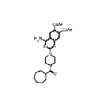 COc1cc2nc(N3CCN(C(=O)C4CCCCCC4)CC3)nc(N)c2cc1OC